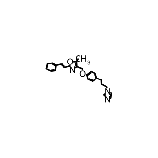 Cc1oc(/C=C/c2ccccc2)nc1COc1ccc(CCCn2ccnc2)cc1